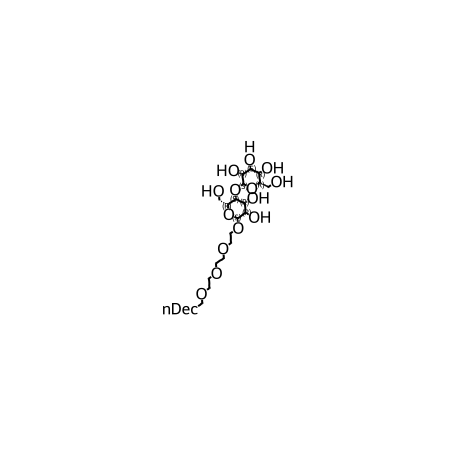 CCCCCCCCCCCOCCOCCOCCO[C@H]1O[C@H](CO)[C@@H](O[C@@H]2O[C@H](CO)[C@H](O)[C@H](O)[C@H]2O)[C@H](O)[C@H]1O